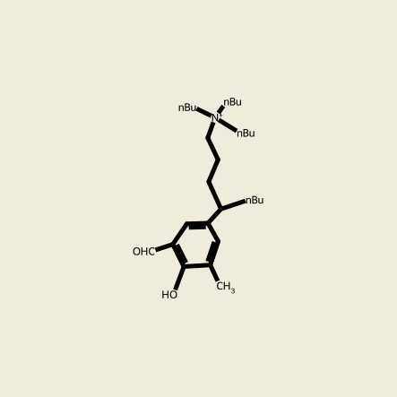 CCCCC(CCC[N+](CCCC)(CCCC)CCCC)c1cc(C)c(O)c(C=O)c1